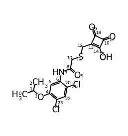 CC(C)Oc1cc(NC(=O)CSCc2c(O)c(=O)c2=O)c(Cl)cc1Cl